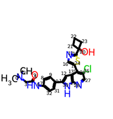 CN(C)CC(=O)Nc1ccc(-c2cc3c(-c4cnc(C5(O)CCC5)s4)c(Cl)cnc3[nH]2)cc1